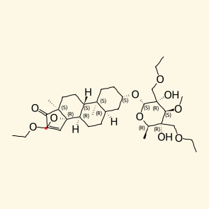 CCOCO[C@]12C=CC(=O)[C@@]1(C)CC[C@H]1[C@H]2CC[C@@H]2C[C@@H](O[C@H]3O[C@H](C)[C@](O)(COCC)[C@H](OC)[C@]3(O)COCC)CC[C@@]21C